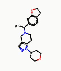 CC(c1ccc2c(c1)OCC2)N1CCc2c(cnn2C2CCOCC2)C1